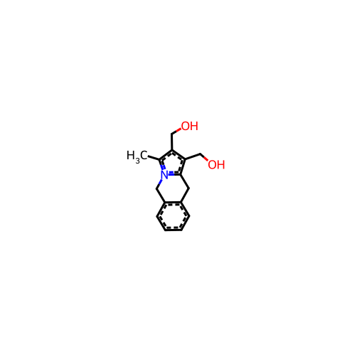 Cc1c(CO)c(CO)c2n1Cc1ccccc1C2